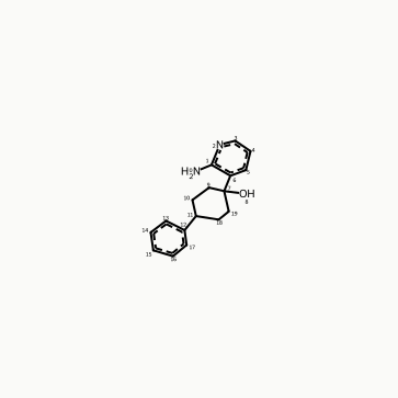 Nc1ncccc1C1(O)CCC(c2ccccc2)CC1